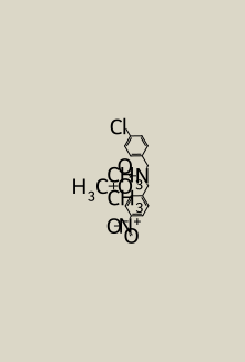 CC(C)(C)OC(=O)N(Cc1ccc(Cl)cc1)Cc1ccc([N+](=O)[O-])cc1